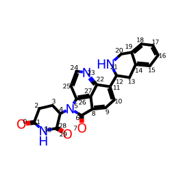 O=C1CCC(N2C(=O)c3ccc(C4Cc5ccccc5CN4)c4nccc2c34)C(=O)N1